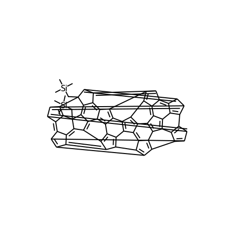 C[Si](C)(C)CC12c3c4c5c6c7c8c9c%10c(c1c1c%11c2c2c%12c3c5c3c5c%12c%12c2c2c%11c%11c%13c1c%10c1c%10c9c9c7c7c6c3c3c5c5c%12c6c2c%11c2c(c%131)c1c%10c9c9c7c3c3c9c1c2c6c53)C48C[Si](C)(C)C